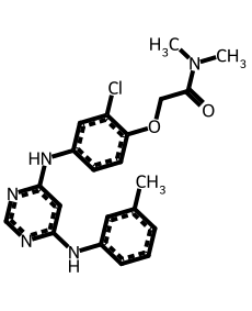 Cc1cccc(Nc2cc(Nc3ccc(OCC(=O)N(C)C)c(Cl)c3)ncn2)c1